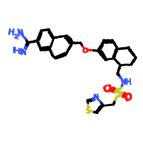 N=C(N)c1ccc2cc(COc3ccc4c(c3)C(CNS(=O)(=O)Cc3cscn3)CCC4)ccc2c1